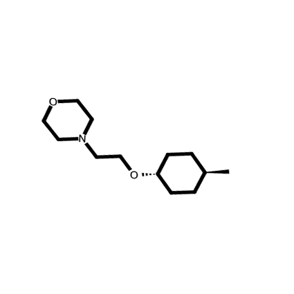 C[C@H]1CC[C@H](OCCN2CCOCC2)CC1